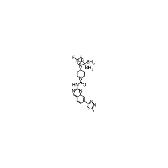 BC(B)(B)N(CC(F)F)C1CCN(C(=O)Nc2ncc3ccc(-c4nnc(C)s4)cc3n2)CC1